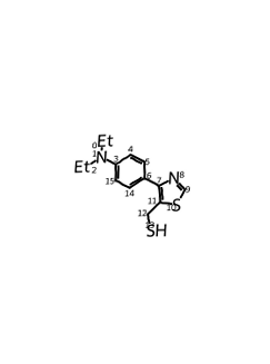 CCN(CC)c1ccc(-c2ncsc2CS)cc1